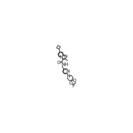 Cc1nc2cc(C3CCC3)ccn2c1C(=O)NCc1ccc(N2CCC3(CC2)OC[C@@H](C)O3)nc1